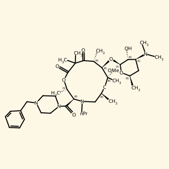 CCCN1C[C@H](C)C[C@@](C)(OC)[C@H](O[C@@H]2O[C@H](C)C[C@H](N(C)C)[C@H]2O)[C@@H](C)C(=O)C(C)(C)C(=O)O[C@@H](C)[C@@H]1C(=O)N1CCN(Cc2ccccc2)CC1